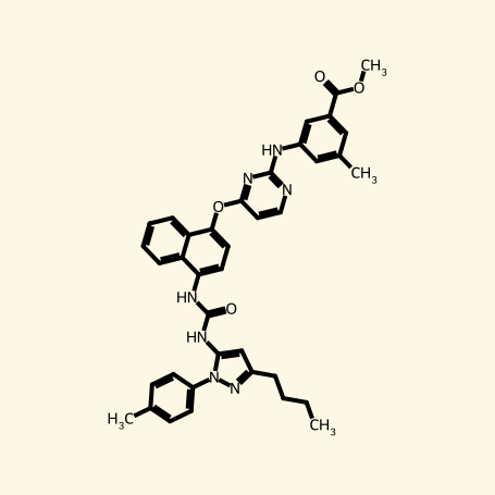 CCCCc1cc(NC(=O)Nc2ccc(Oc3ccnc(Nc4cc(C)cc(C(=O)OC)c4)n3)c3ccccc23)n(-c2ccc(C)cc2)n1